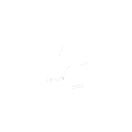 C=CC(=N)N=CC.Cl